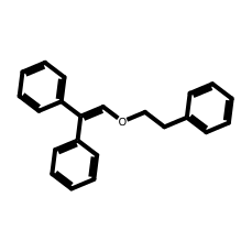 C(OCCc1ccccc1)=C(c1ccccc1)c1ccccc1